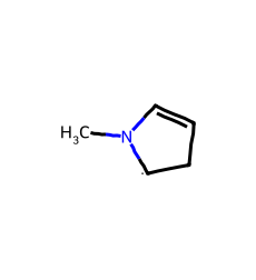 CN1[CH]CC=C1